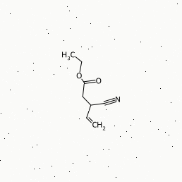 C=CC(C#N)CC(=O)OCC